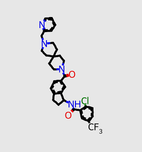 O=C(NC1CCc2ccc(C(=O)N3CCC4(CCN(Cc5ccccn5)CC4)CC3)cc21)c1cc(C(F)(F)F)ccc1Cl